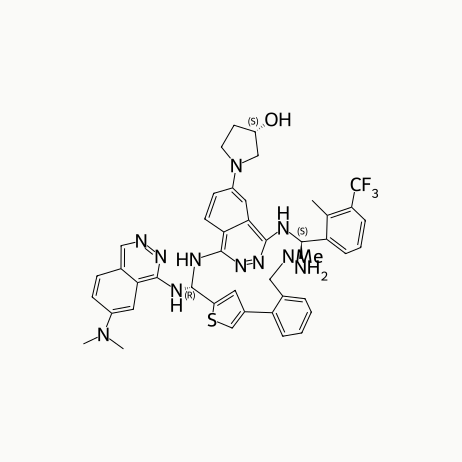 CNCc1ccccc1-c1csc([C@H](Nc2nncc3ccc(N(C)C)cc23)Nc2nnc(N[C@H](N)c3cccc(C(F)(F)F)c3C)c3cc(N4CC[C@H](O)C4)ccc23)c1